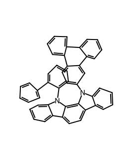 c1ccc(-c2ccccc2-n2c3ccccc3c3ccc4c5ccccc5n(-c5ccc6c7ccccc7c7ccccc7c6c5)c4c32)cc1